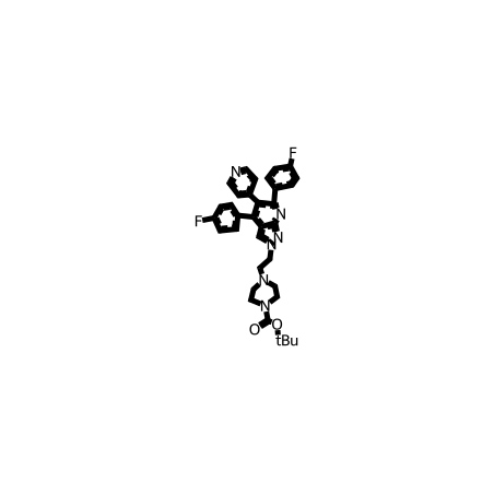 CC(C)(C)OC(=O)N1CCN(CCn2cc3c(-c4ccc(F)cc4)c(-c4ccncc4)c(-c4ccc(F)cc4)nc3n2)CC1